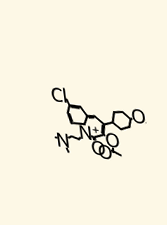 COC1CCC(c2cc3cc(Cl)ccc3[n+](CCN(C)C)c(=O)c2OC(C)=O)CC1